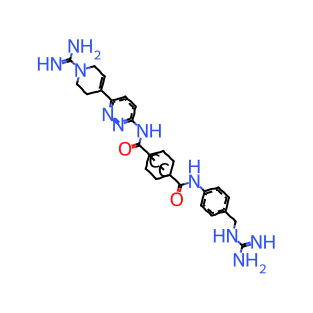 N=C(N)NCc1ccc(NC(=O)C23CCC(C(=O)Nc4ccc(C5=CCN(C(=N)N)CC5)nn4)(CC2)CC3)cc1